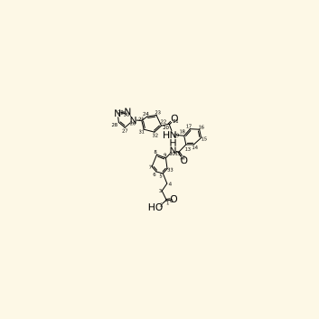 O=C(O)CCc1cccc(NC(=O)c2ccccc2NC(=O)c2ccc(-n3ccnn3)cc2)c1